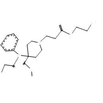 CCC(=O)N(c1ccccc1)C1(C(=O)OC)CCN(CCC(=O)NCCN)CC1